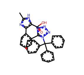 Cc1nc(-c2ccccc2-c2nnnn2C(c2ccccc2)(c2ccccc2)c2ccccc2)c(C(=O)O)[nH]1